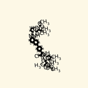 COC(=O)N[C@H](C(=O)N1CCC[C@H]1c1nc2ccc3cc(-c4ccc(-c5[nH]c([C@@H]6C[C@@H](C)[C@@H](C)N6C(=O)[C@@H](NC(=O)OC)C(C)C)nc5Cl)cc4)ccc3c2[nH]1)C(C)C